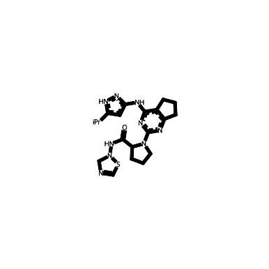 CC(C)c1cc(Nc2nc(N3CCCC3C(=O)NN3CN=CS3)nc3c2CCC3)n[nH]1